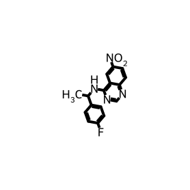 CC(Nc1ncnc2ccc([N+](=O)[O-])cc12)c1ccc(F)cc1